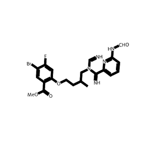 COC(=O)c1cc(Br)c(F)cc1OCCC(C)CN(C=N)C(=N)c1cccc(NC=O)n1